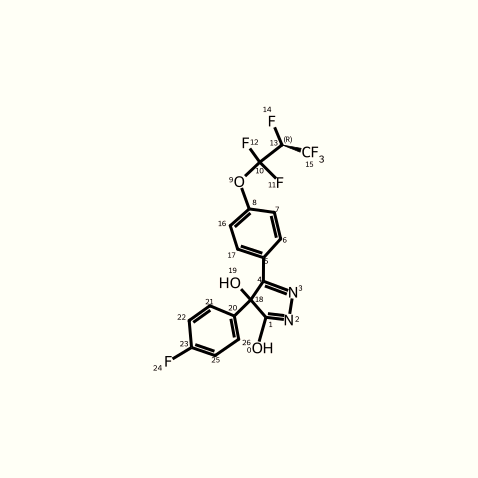 OC1=NN=C(c2ccc(OC(F)(F)[C@@H](F)C(F)(F)F)cc2)C1(O)c1ccc(F)cc1